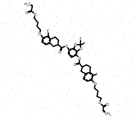 C=CC(=O)OCCCCOc1ccc2c(c1F)CCC(C(=O)Oc1ccc(OC(=O)C3CCc4c(ccc(OCCCCOC(=O)C=C)c4F)C3)c3c1OC(F)(F)O3)C2